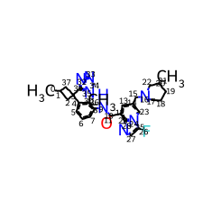 CC1CC(c2cccc(NC(=O)c3cc(CN4CCC[C@H](C)C4)cn4c(F)cnc34)c2)(c2nncn2C)C1